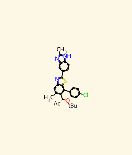 CC(=O)[C@@H](OC(C)(C)C)c1c(C)cc2nc(-c3ccc4[nH]c(C)nc4c3)sc2c1-c1ccc(Cl)cc1